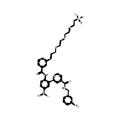 CCN(CC)c1ccc(NC(=O)c2cccc(CCCOCCOCCOCC[N+](CC)(CC)CC)c2)c(-c2cc(C(=O)NCc3cccc(C(F)(F)F)c3)ccn2)c1